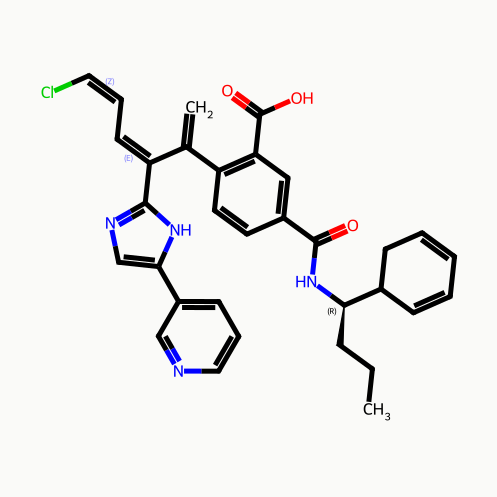 C=C(/C(=C\C=C/Cl)c1ncc(-c2cccnc2)[nH]1)c1ccc(C(=O)N[C@H](CCC)C2C=CC=CC2)cc1C(=O)O